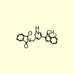 Cn1c(C2=CNCC(CN3C(=O)c4ccccc4C3=O)=C2)cc2ccccc21